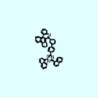 c1cc(-c2ccc(-c3nc(-c4cccc5ccccc45)nc(-c4cccc5ccccc45)n3)cc2)cc(-c2nc3ccccc3c3c4ccccc4c4ccccc4c23)c1